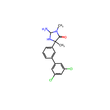 CN1C(=O)C(C)(c2cccc(-c3cc(Cl)cc(Cl)c3)c2)NC1N